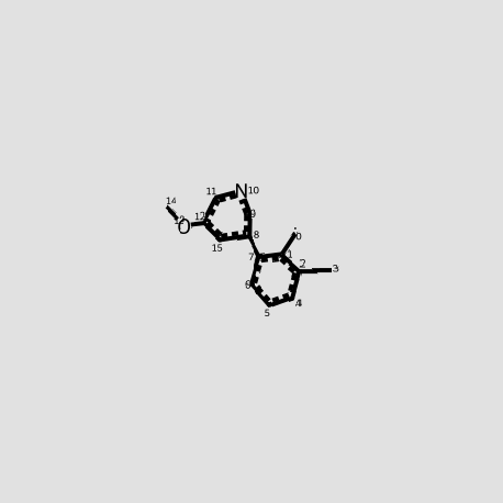 [CH2]c1c(C)cccc1-c1cncc(OC)c1